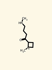 CNCCCC(=O)C1CC[C@H]1C